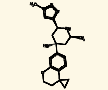 C[C@H]1C[C@@](O)(c2ccc3c(c2)OCCC32CC2)C[C@@H](c2cn(C)nn2)N1